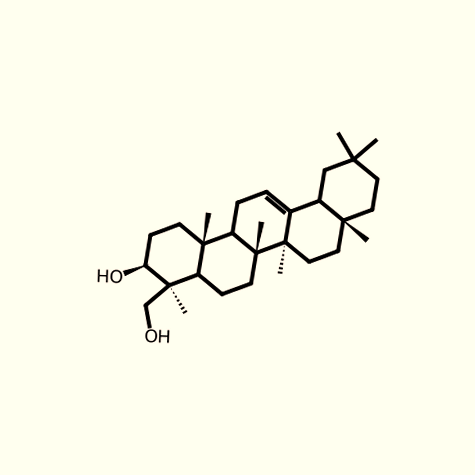 CC1(C)CC[C@]2(C)CC[C@]3(C)C(=CCC4[C@@]5(C)CC[C@H](O)[C@](C)(CO)C5CC[C@]43C)C2C1